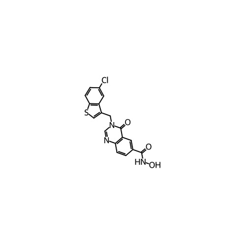 O=C(NO)c1ccc2ncn(Cc3csc4ccc(Cl)cc34)c(=O)c2c1